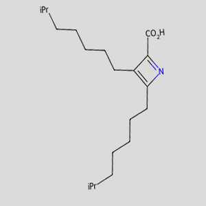 CC(C)CCCCCC1=C(CCCCCC(C)C)C(C(=O)O)=N1